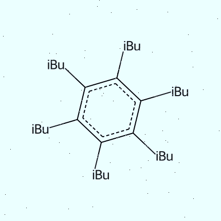 CCC(C)c1c(C(C)CC)c(C(C)CC)c(C(C)CC)c(C(C)CC)c1C(C)CC